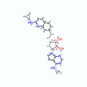 CNc1ncnc2c1ccn2[C@@H]1C[C@H](CCc2ccc3ccc(NC4CC4)nc3c2)[C@@H](O)[C@H]1O